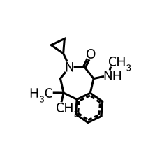 CNC1C(=O)N(C2CC2)CC(C)(C)c2ccccc21